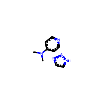 CN(C)c1ccncc1.c1c[nH]nn1